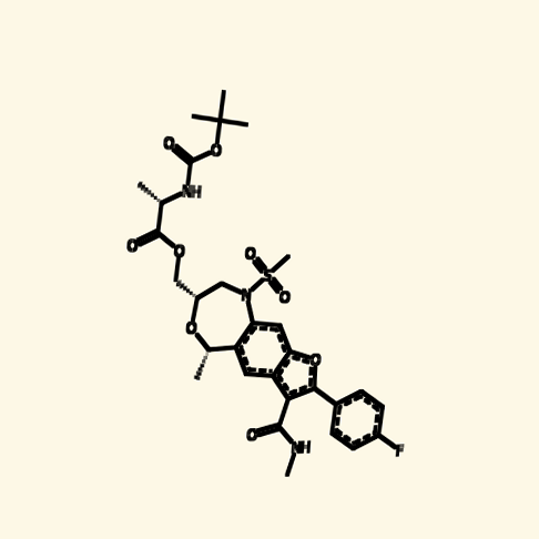 CNC(=O)c1c(-c2ccc(F)cc2)oc2cc3c(cc12)[C@H](C)O[C@H](COC(=O)[C@H](C)NC(=O)OC(C)(C)C)CN3S(C)(=O)=O